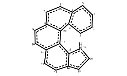 c1ccc2c(c1)ccc1ccc3ccc4cc[nH]c4c3c12